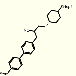 CCCCCCC[C@H]1CC[C@H](CCC(C#N)Cc2ccc(-c3ccc(CCCCC)cc3)cc2)CC1